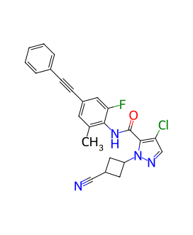 Cc1cc(C#Cc2ccccc2)cc(F)c1NC(=O)c1c(Cl)cnn1C1CC(C#N)C1